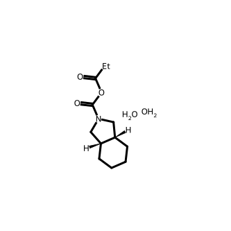 CCC(=O)OC(=O)N1C[C@H]2CCCC[C@H]2C1.O.O